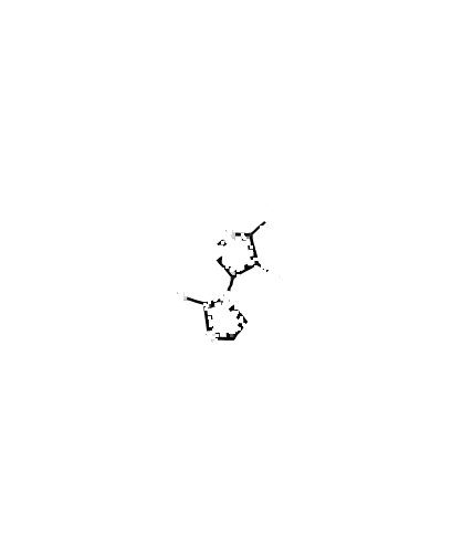 Cc1noc(-n2ccnc2[N+](=O)[O-])c1O